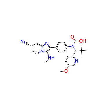 CNc1c(-c2ccc(N(C(=O)O)C(c3ccc(OC)cn3)C(C)(C)C)cc2)nc2cc(C#N)ccn12